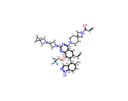 C=CC(=O)N1CC2(CCN(c3nc(N4CC(N5CC6(CC6)C5)C4)nc4c(OCC(F)(F)F)c(-c5c(C)ccc6[nH]ncc56)c(C=C)cc34)CC2)C1